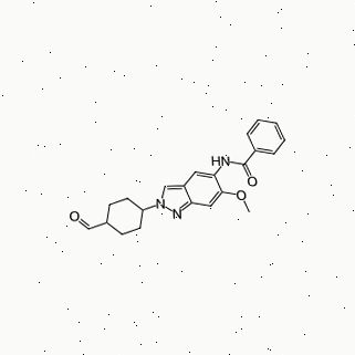 COc1cc2nn(C3CCC(C=O)CC3)cc2cc1NC(=O)c1ccccc1